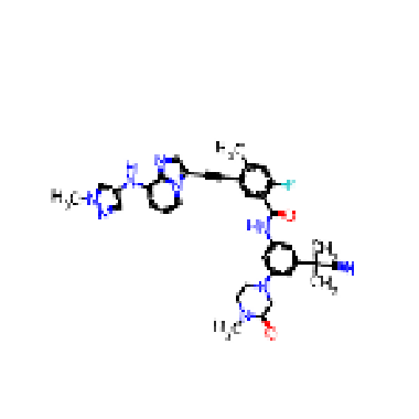 Cc1cc(F)c(C(=O)Nc2cc(N3CCN(C)C(=O)C3)cc(C(C)(C)C#N)c2)cc1C#Cc1cnc2c(Nc3cnn(C)c3)cccn12